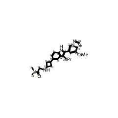 COc1cc(-c2[nH]c3ccc(C4CC(NCC(=O)N(C)C)C4)cc3c2C(C)C)cn2ncnc12